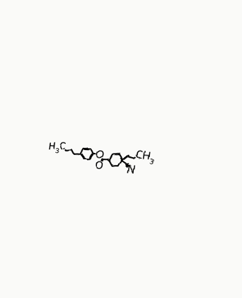 CCCCc1ccc(OC(=O)C2CCC(C#N)(CCC)CC2)cc1